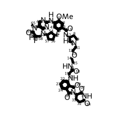 COc1cc(C(=O)N[C@H]2CCN(CCOCCNC(=O)CNc3cccc4c3C(=O)N(C3CCC(=O)NC3=O)C4=O)C2)c(F)cc1Nc1ncc2c(n1)N(C1CCCC1)CC(F)(F)C(=O)N2C